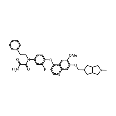 COc1cc2c(Oc3ccc(N(CCc4ccccc4)C(=O)C(N)=O)cc3F)ccnc2cc1OCC1CC2CN(C)CC2C1